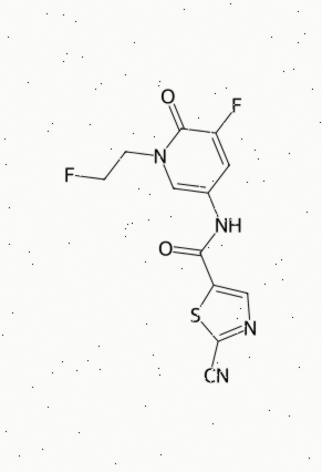 N#Cc1ncc(C(=O)Nc2cc(F)c(=O)n(CCF)c2)s1